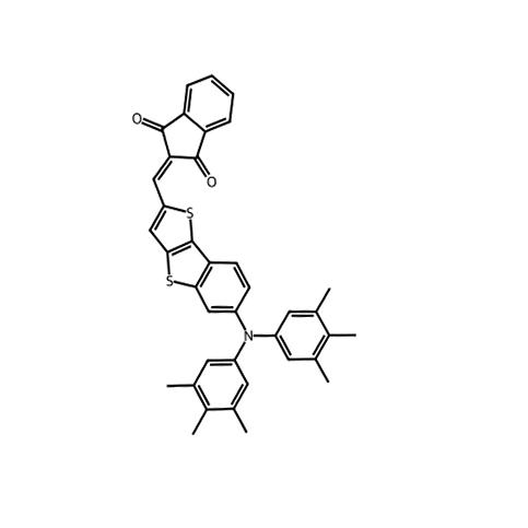 Cc1cc(N(c2cc(C)c(C)c(C)c2)c2ccc3c(c2)sc2cc(C=C4C(=O)c5ccccc5C4=O)sc23)cc(C)c1C